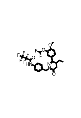 CCC1CC(=O)N(Cc2ccc(NC(=O)C(F)(F)C(F)(F)F)cc2)N=C1c1ccc(OC)c(OC(F)F)c1